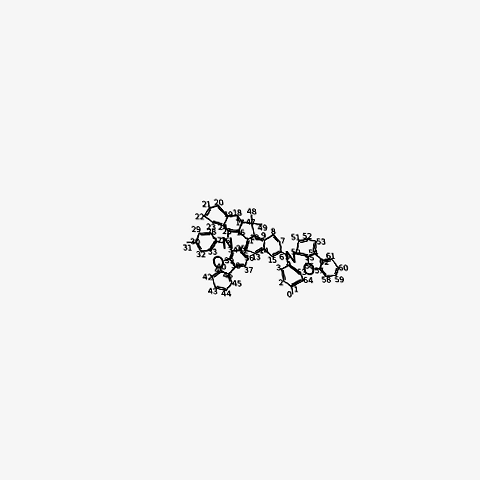 Cc1ccc(N(c2ccc3c4c(ccc3c2)-c2c(cc3ccccc3c2N(c2ccc(C)cc2)c2cccc3c2oc2ccccc23)C4(C)C)c2cccc3c2oc2ccccc23)cc1